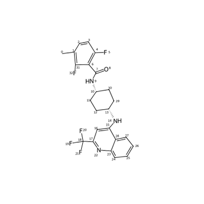 Cc1ccc(F)c(C(=O)N[C@H]2CC[C@@H](Nc3cc(C(F)(F)F)nc4ccccc34)CC2)c1F